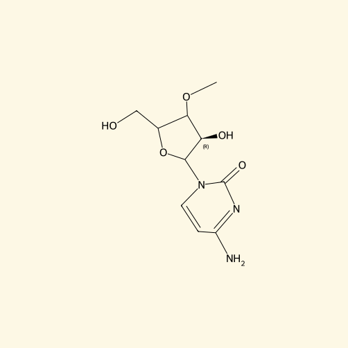 COC1C(CO)OC(n2ccc(N)nc2=O)[C@@H]1O